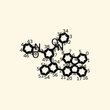 c1ccc2c(c1)-c1ccccc1C21c2ccccc2-c2ccc(-c3cc(-c4cc(-c5nc6ccccc6o5)cc(-c5nc6ccccc6o5)c4)c4ccccc4c3)cc21